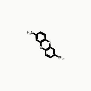 Bc1ccc2c(c1)Sc1ccc(B)cc1S2